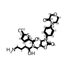 NCCCC(O)N(C[C@H]1CN(c2ccc(N3CCOCC3=O)cc2)C(=O)O1)C(=O)c1ccc(Cl)s1